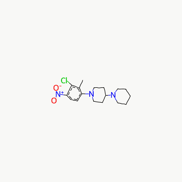 Cc1c(N2CCC(N3CCCCC3)CC2)ccc([N+](=O)[O-])c1Cl